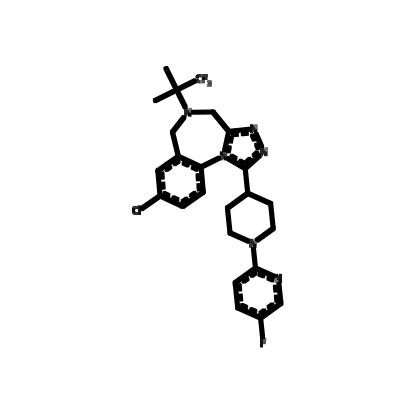 CC(C)(N1Cc2cc(Cl)ccc2-n2c(nnc2C2CCN(c3ccc(F)cn3)CC2)C1)C(F)(F)F